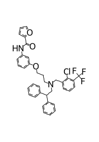 O=C(Nc1cccc(OCCCN(Cc2cccc(C(F)(F)F)c2Cl)CC(c2ccccc2)c2ccccc2)c1)c1ccco1